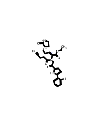 C#CCCC(=O)N(CC(=O)c1ccc(-c2ccccc2Cl)[nH]1)/C(=C\CC[C@H]1CCNC1=O)C(=O)OCC